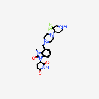 Cn1c(=O)n(C2CCC(=O)NC2=O)c2cccc(CN3CCN(C4CCNCC4(F)F)CC3)c21